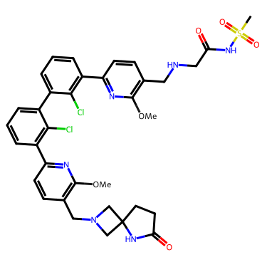 COc1nc(-c2cccc(-c3cccc(-c4ccc(CN5CC6(CCC(=O)N6)C5)c(OC)n4)c3Cl)c2Cl)ccc1CNCC(=O)NS(C)(=O)=O